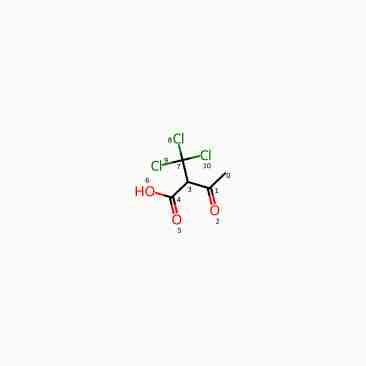 CC(=O)C(C(=O)O)C(Cl)(Cl)Cl